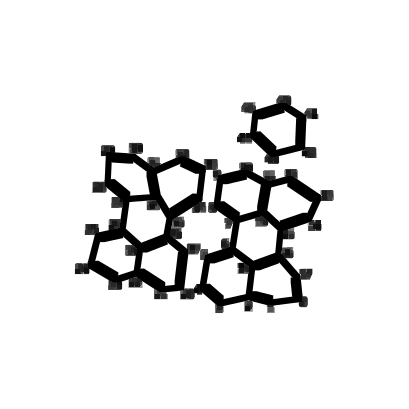 c1cc2cccc3c4cccc5cccc(c(c1)c23)c54.c1cc2cccc3c4cccc5cccc(c(c1)c23)c54.c1ccccc1